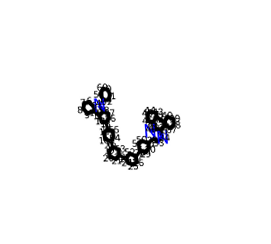 c1ccc(-n2c3ccccc3c3cc(-c4ccc(-c5cccc(-c6cccc(-c7ccc(-c8cnc9c%10ccccc%10c%10ccccc%10c9n8)cc7)c6)c5)cc4)ccc32)cc1